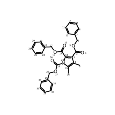 Cc1c(C(=O)OCc2ccccc2)c(C(=O)OCc2ccccc2)n(C(=O)OCc2ccccc2)c1C